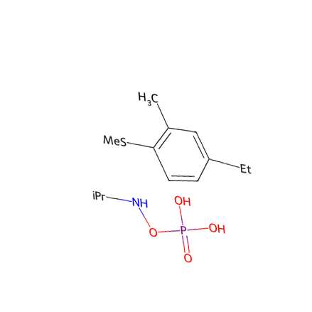 CC(C)NOP(=O)(O)O.CCc1ccc(SC)c(C)c1